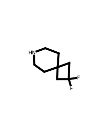 FC1(F)CC2(CCNCC2)C1